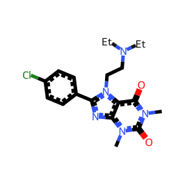 CCN(CC)CCn1c(-c2ccc(Cl)cc2)nc2c1c(=O)n(C)c(=O)n2C